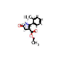 CCOC(=O)C1=C(c2ccccc2C)NC(=O)C1